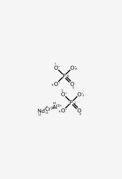 O=P([O-])([O-])[O-].O=P([O-])([O-])[O-].[Al+3].[Cr+3].[Nd]